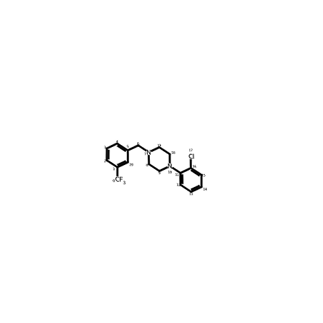 FC(F)(F)c1cccc(CN2CCN(c3ccccc3Cl)CC2)c1